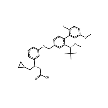 COc1ccc(F)c(-c2ccc(COc3cccc([C@H](CC(=O)O)CC4CC4)c3)cc2[C@H](OC)C(C)(C)C)c1